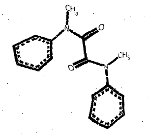 CN(C(=O)C(=O)N(C)c1ccccc1)c1ccccc1